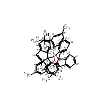 C[CH2][Zr]([O]c1ccc(C)cc1C(C)(C)C)([O]c1ccc(C)cc1C(C)(C)C)([C]1(c2ccccc2)C(C)=Cc2ccccc21)[C]1(c2ccccc2)C(C)=Cc2ccccc21